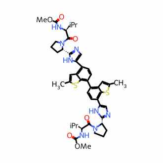 COC(=O)N[C@H](C(=O)N1CCC[C@H]1c1ncc(-c2ccc(-c3ccc(-c4cnc([C@@H]5CCCN5C(=O)[C@@H](NC(=O)OC)C(C)C)[nH]4)c4sc(C)cc34)c3sc(C)cc23)[nH]1)C(C)C